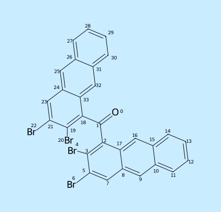 O=C(c1c(Br)c(Br)cc2cc3ccccc3cc12)c1c(Br)c(Br)cc2cc3ccccc3cc12